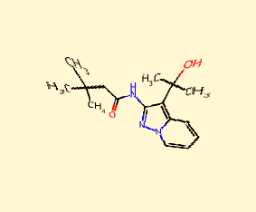 CC(C)(C)CC(=O)Nc1nn2ccccc2c1C(C)(C)O